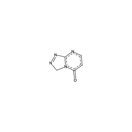 O=c1ccnc2n1CN=N2